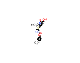 C[C@H](CNC(=O)OCc1ccc([N+](=O)[O-])cc1)SCC1=C(C(=O)O)N2C(=O)[C@H]([C@@H](C)O)[C@H]2C1